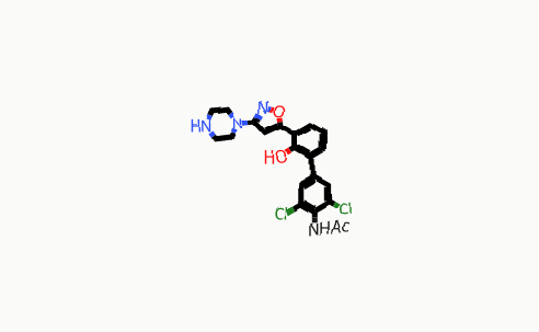 CC(=O)Nc1c(Cl)cc(-c2cccc(-c3cc(N4CCNCC4)no3)c2O)cc1Cl